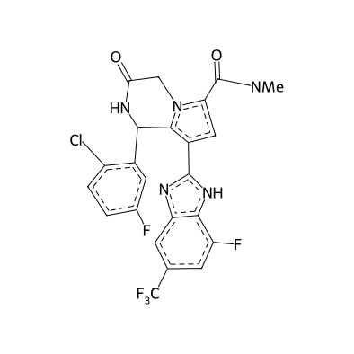 CNC(=O)c1cc(-c2nc3cc(C(F)(F)F)cc(F)c3[nH]2)c2n1CC(=O)NC2c1cc(F)ccc1Cl